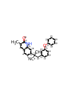 Cc1cc2ccc(C(C)(C#N)Cc3cccc(Oc4ccccc4)c3)cc2[nH]c1=O